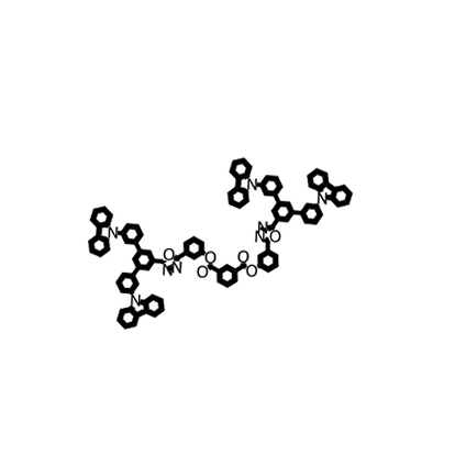 O=C(Oc1cccc(-c2nnc(-c3cc(-c4cccc(-n5c6ccccc6c6ccccc65)c4)cc(-c4cccc(-n5c6ccccc6c6ccccc65)c4)c3)o2)c1)c1cccc(C(=O)Oc2cccc(-c3nnc(-c4cc(-c5cccc(-n6c7ccccc7c7ccccc76)c5)cc(-c5cccc(-n6c7ccccc7c7ccccc76)c5)c4)o3)c2)c1